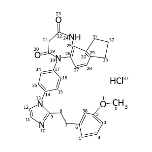 COc1cccc(CCc2nccn2-c2ccc(N3C(=O)CC(=O)Nc4c3ccc3c4CCC3)cc2)c1.Cl